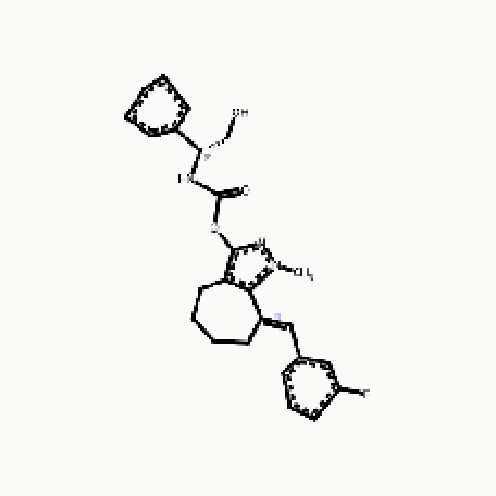 Cn1nc(OC(=O)N[C@@H](CO)c2ccccc2)c2c1/C(=C/c1cccc(F)c1)CCCC2